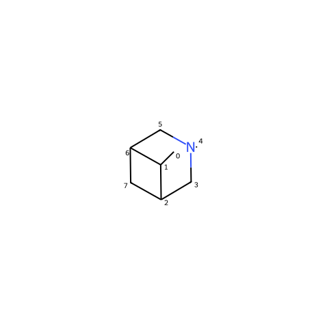 CC1C2C[N]CC1C2